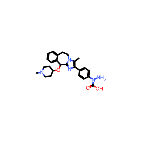 Cc1c(-c2ccc(N(N)C(=O)O)cc2)nc2n1CCc1ccccc1C2OC1CCN(C)CC1